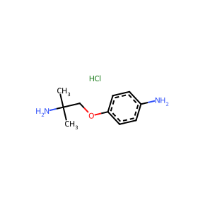 CC(C)(N)COc1ccc(N)cc1.Cl